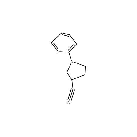 N#CC1CCN(c2ccccn2)C1